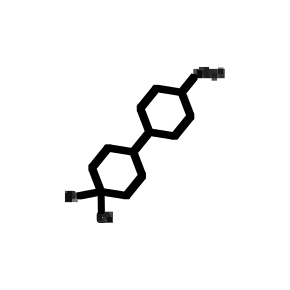 CCCCCCCC1CCC(C2CCC(C#N)(C(C)C)CC2)CC1